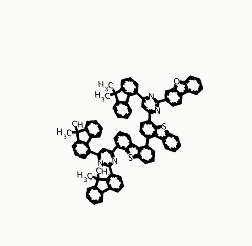 CC1(C)c2ccccc2-c2c(-c3cc(-c4ccc(-c5cccc6sc7c(-c8cc(-c9cccc%10c9-c9ccccc9C%10(C)C)nc(-c9cccc%10c9C(C)(C)c9ccccc9-%10)n8)cccc7c56)c5c4sc4ccccc45)nc(-c4ccc5c(c4)oc4ccccc45)n3)cccc21